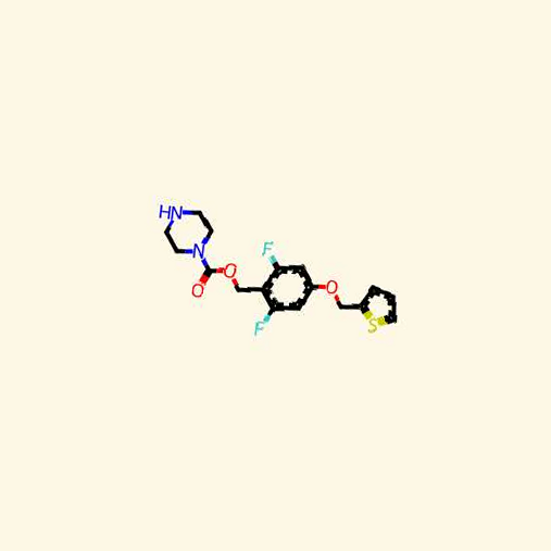 O=C(OCc1c(F)cc(OCc2cccs2)cc1F)N1CCNCC1